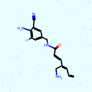 C=C/C=C(/C=C/C(=O)NCc1cc(F)c(N)c(C#N)c1)CN